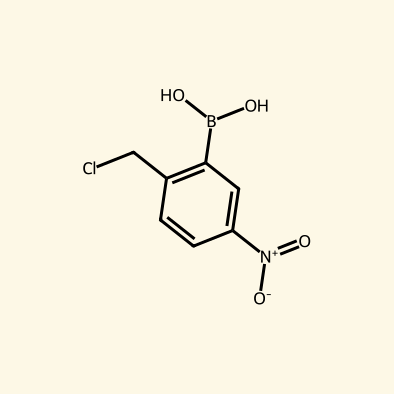 O=[N+]([O-])c1ccc(CCl)c(B(O)O)c1